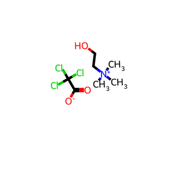 C[N+](C)(C)CCO.O=C([O-])C(Cl)(Cl)Cl